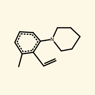 C=Cc1c(C)cccc1N1CCCCC1